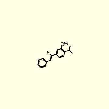 CC(C)c1ccc(/C(F)=C/c2ccccc2)cc1O